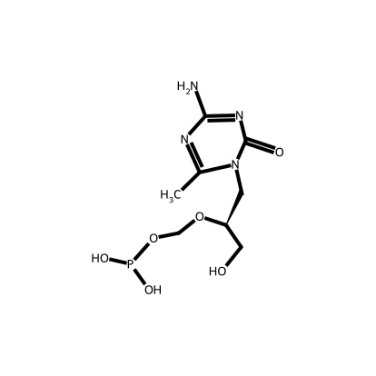 Cc1nc(N)nc(=O)n1C[C@@H](CO)OCOP(O)O